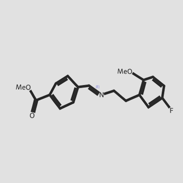 COC(=O)c1ccc(/C=N/CCc2cc(F)ccc2OC)cc1